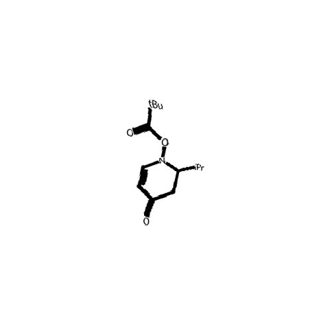 CC(C)C1CC(=O)C=CN1OC(=O)C(C)(C)C